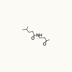 CC(=O)CCNC(=O)CCC(C)C